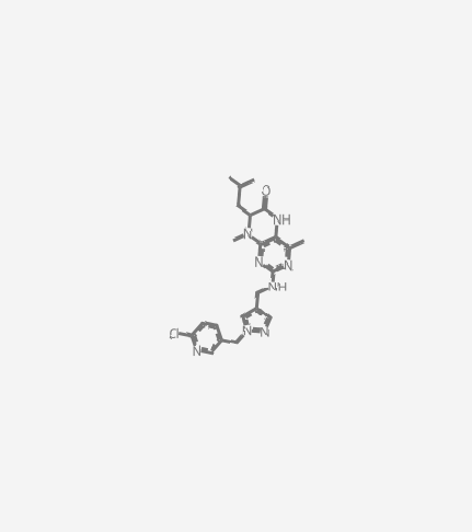 Cc1nc(NCc2cnn(Cc3ccc(Cl)nc3)c2)nc2c1NC(=O)C(CC(C)C)N2C